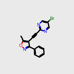 Cc1onc(-c2ccccc2)c1C#Cc1ncc(Br)cn1